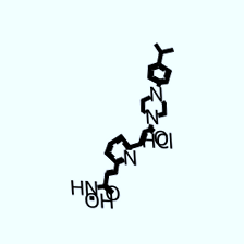 CC(C)c1ccc(N2CCN(C(=O)C=Cc3cccc(C=CC(=O)NO)n3)CC2)cc1.Cl